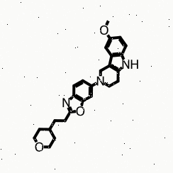 COc1ccc2[nH]c3c(c2c1)CN(c1ccc2nc(CCC4CCOCC4)oc2c1)CC3